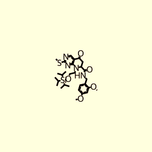 COc1ccc(CNC(=O)C2CC(=O)c3cnc(SC)nc3N2CCO[Si](C(C)C)(C(C)C)C(C)C)c(OC)c1